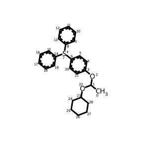 CC(Oc1ccc([S+](c2ccccc2)c2ccccc2)cc1)OC1CCCCC1